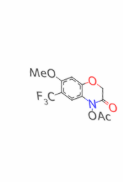 COc1cc2c(cc1C(F)(F)F)N(OC(C)=O)C(=O)CO2